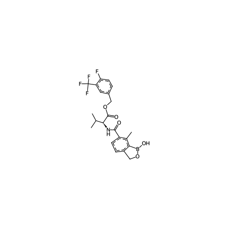 Cc1c(C(=O)N[C@H](C(=O)OCc2ccc(F)c(C(F)(F)F)c2)C(C)C)ccc2c1B(O)OC2